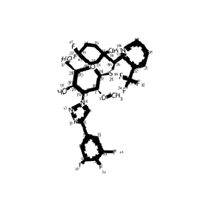 CO[C@@H]1[C@@H](n2cc(-c3cc(F)c(F)c(F)c3)nn2)[C@@H](O)[C@@H](CO)O[C@H]1S[C@H](c1ncccc1C(F)(F)F)C1(O)CCC(F)(F)CC1